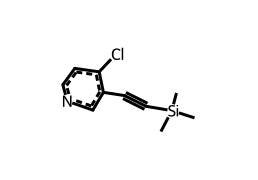 C[Si](C)(C)C#Cc1cnccc1Cl